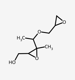 CC(OCC1CO1)C1(C)OC1CO